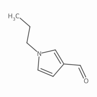 CCCn1ccc(C=O)c1